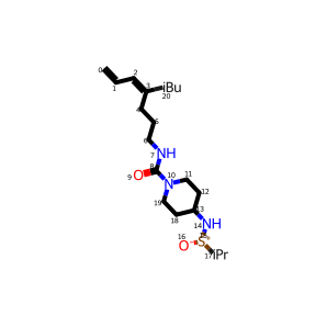 C=C/C=C(\CCCNC(=O)N1CCC(N[S+]([O-])C(C)C)CC1)C(C)CC